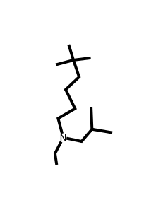 CCN(CCCCC(C)(C)C)CC(C)C